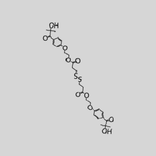 CC(C)(O)C(=O)c1ccc(OCCOC(=O)CCSSCCC(=O)OCCOc2ccc(C(=O)C(C)(C)O)cc2)cc1